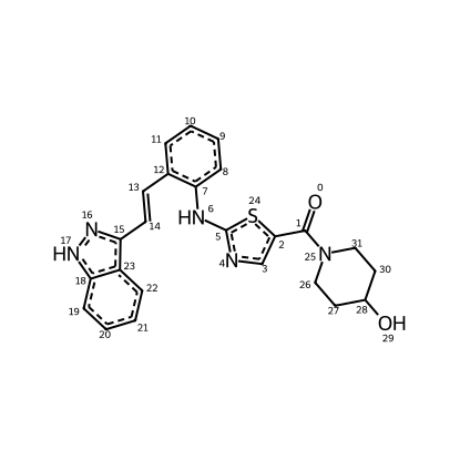 O=C(c1cnc(Nc2ccccc2/C=C/c2n[nH]c3ccccc23)s1)N1CCC(O)CC1